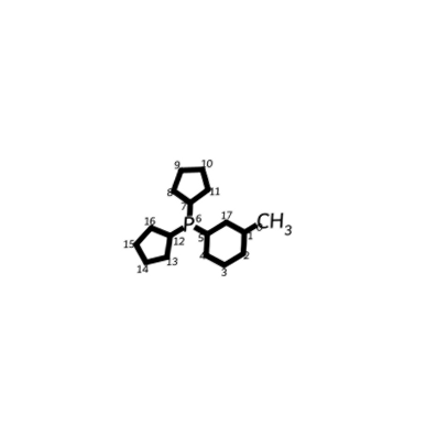 CC1CCCC(P(C2CCCC2)C2CCCC2)C1